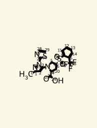 Cc1cc(N2C[C@H](S(=O)(=O)c3ccccc3C(F)(F)F)C[C@H]2C(=O)O)n(-c2nccs2)n1